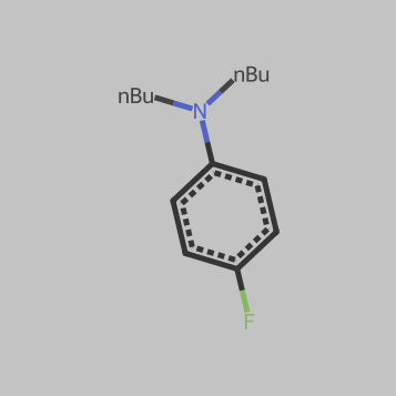 CCCCN(CCCC)c1ccc(F)cc1